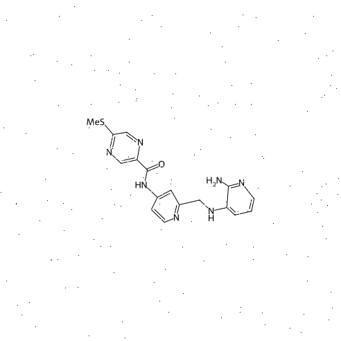 CSc1cnc(C(=O)Nc2ccnc(CNc3cccnc3N)c2)cn1